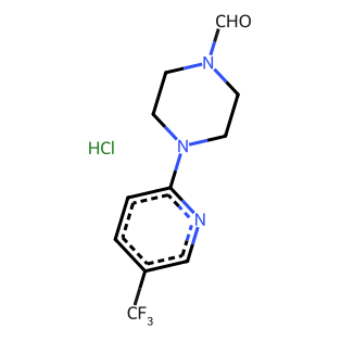 Cl.O=CN1CCN(c2ccc(C(F)(F)F)cn2)CC1